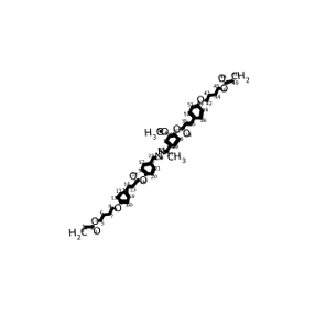 C=CC(=O)OCCCCOc1ccc(/C=C/C(=O)Oc2ccc(/C=N/N=C(\C)c3ccc(OC(=O)/C=C/c4ccc(OCCCCOC(=O)C=C)cc4)c(OC)c3)cc2)cc1